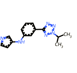 CC(C)n1nnc(-c2cccc(Nc3cc[nH]c3)c2)n1